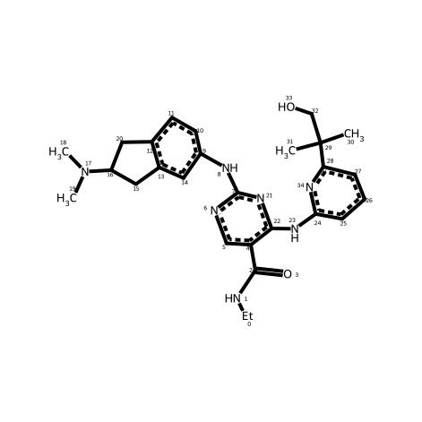 CCNC(=O)c1cnc(Nc2ccc3c(c2)CC(N(C)C)C3)nc1Nc1cccc(C(C)(C)CO)n1